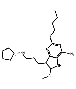 CCCCOc1nc(N)c2c(n1)N(CCCN[C@@H]1CCCO1)C(OC)N2